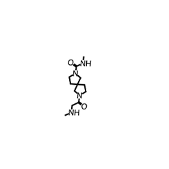 CNCC(=O)N1CCC2(CCN(C(=O)NC)C2)C1